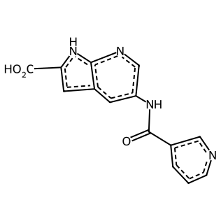 O=C(Nc1cnc2[nH]c(C(=O)O)cc2c1)c1cccnc1